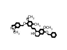 COc1cc(C)c(/C=C/C2NCCc3cc(OCc4ccccc4)c(OC)cc32)cc1OCc1ccc2cnn(C)c2c1